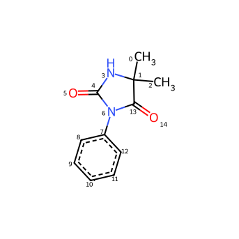 CC1(C)NC(=O)N(c2cc[c]cc2)C1=O